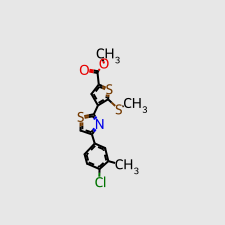 COC(=O)c1cc(-c2nc(-c3ccc(Cl)c(C)c3)cs2)c(SC)s1